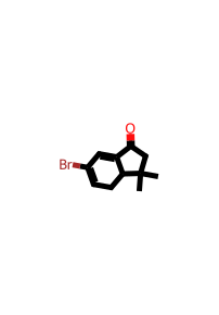 CC1(C)CC(=O)C2=CC(Br)=CCC21